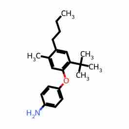 CCCCc1cc(C(C)(C)C)c(Oc2ccc(N)cc2)cc1C